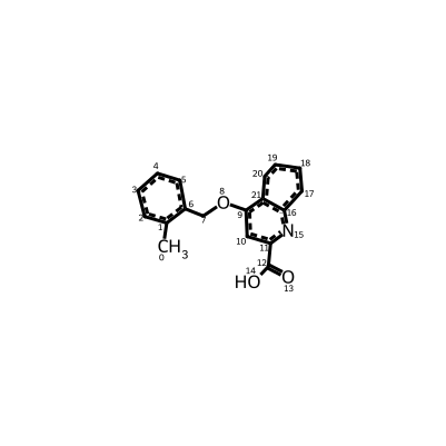 Cc1ccccc1COc1cc(C(=O)O)nc2ccccc12